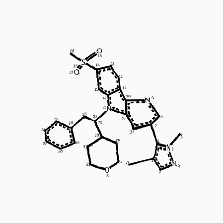 Cc1cnn(C)c1-c1cnc2c3ccc(S(C)(=O)=O)cc3n([C@H](Cc3ccccc3)C3CCOCC3)c2c1